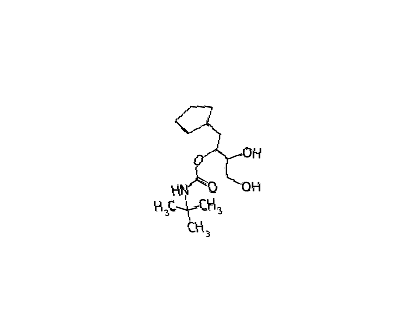 CC(C)(C)NC(=O)OC(CC1CCCC1)C(O)CO